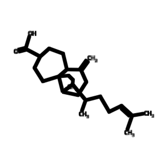 C=C1CCC2(C)C(C(C)CCC=C(C)C)CCC23CCC(C(=O)O)CCC13